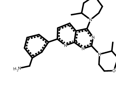 CC1COCCN1c1nc(N2CCOCC2C)c2ccc(-c3cccc(CN)c3)nc2n1